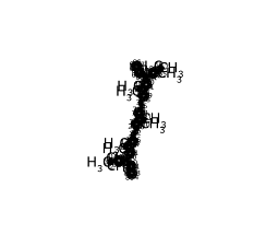 CC(C)(C)c1ccc(N(c2ccc3c(c2)C(C)(C)c2cc(/C=C/c4ccc5c(c4)C(C)(C)c4cc(/C=C/c6ccc7c(c6)C(C)(C)c6cc(N(c8ccc(C(C)(C)C)cc8)c8ccc9ccccc9n8)ccc6-7)ccc4-5)ccc2-3)c2ccc3ccccc3n2)cc1